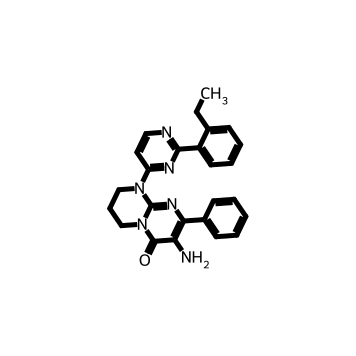 CCc1ccccc1-c1nccc(N2CCCn3c2nc(-c2ccccc2)c(N)c3=O)n1